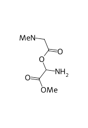 CNCC(=O)OC(N)C(=O)OC